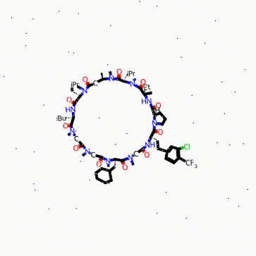 CCC(C)[C@@H]1NC(=O)[C@H](CC(C)C)N(C)C(=O)C[C@@H](C)N(C)C(=O)[C@H](C(C)C)N(C)C(=O)[C@](C)(CC)NC(=O)[C@@H]2CCCN2C(=O)[C@H](CCc2ccc(C(F)(F)F)c(Cl)c2)NC(=O)CN(C)C(=O)[C@H](CC2CCCCC2)N(C)C(=O)CN(C)C(=O)CN(C)C1=O